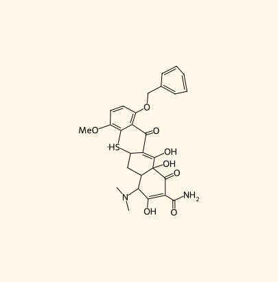 COc1ccc(OCc2ccccc2)c2c1[SH]C1CC3C(N(C)C)C(O)=C(C(N)=O)C(=O)C3(O)C(O)=C1C2=O